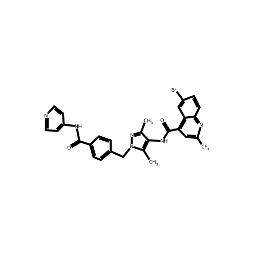 Cc1nn(Cc2ccc(C(=O)Nc3ccncc3)cc2)c(C)c1NC(=O)c1cc(C(F)(F)F)nc2ccc(Br)cc12